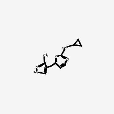 Cc1n[nH]cc1-c1ccnc(NC2CC2)n1